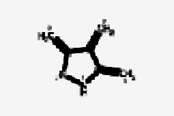 C=C1[N]NC(=C)C1=C